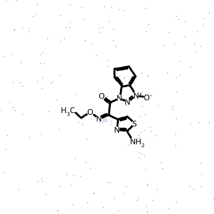 CCO/N=C(\C(=O)n1n[n+]([O-])c2ccccc21)c1csc(N)n1